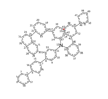 c1ccc(-c2ccc(-c3ccc(N(c4cccc(-c5cccc(-c6cccc7ccccc67)c5)c4)c4ccccc4-c4cccc(-c5ccccc5)c4)cc3)cc2)cc1